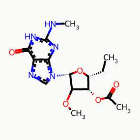 CC[C@H]1O[C@@H](n2cnc3c(=O)[nH]c(NC)nc32)C(OC)[C@H]1OC(C)=O